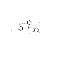 O=C(Nc1c(Br)cc(C(C(F)(F)F)C(F)(F)F)cc1OC(F)F)c1cccc(N(CC2CC2)C(=O)c2ccc(C(F)(F)F)cc2)c1F